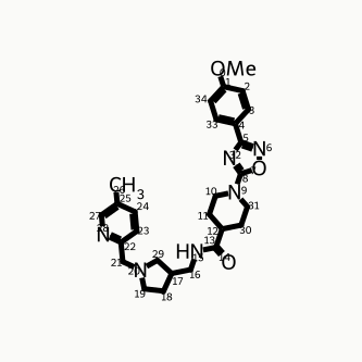 COc1ccc(-c2noc(N3CCC(C(=O)NCC4CCN(Cc5ccc(C)cn5)C4)CC3)n2)cc1